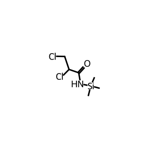 C[Si](C)(C)NC(=O)C(Cl)CCl